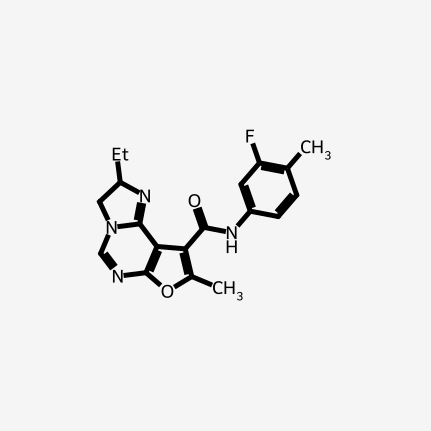 CCC1CN2C=Nc3oc(C)c(C(=O)Nc4ccc(C)c(F)c4)c3C2=N1